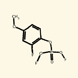 COc1ccc(OP(=O)(OF)OF)c(F)c1